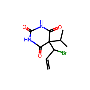 C=CC(Br)C1(C(C)C)C(=O)NC(=O)NC1=O